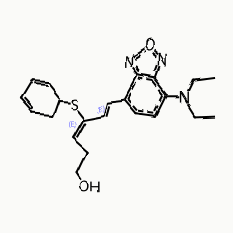 CCN(CC)c1ccc(/C=C/C(=C\CCO)SC2C=CC=CC2)c2nonc12